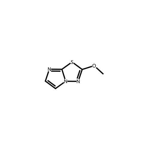 COc1nn2ccnc2s1